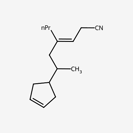 CCCC(=CCC#N)CC(C)C1CC=CC1